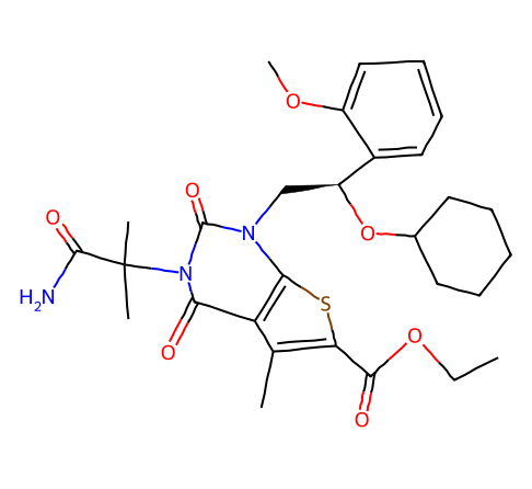 CCOC(=O)c1sc2c(c1C)c(=O)n(C(C)(C)C(N)=O)c(=O)n2C[C@H](OC1CCCCC1)c1ccccc1OC